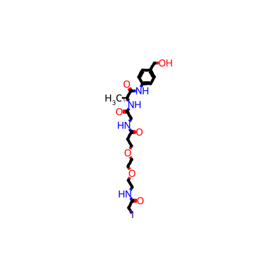 C[C@H](NC(=O)CNC(=O)CCOCCOCCNC(=O)CI)C(=O)Nc1ccc(CO)cc1